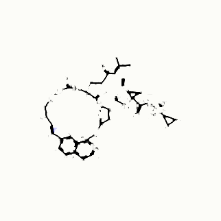 C=C[C@@H]1C[C@]1(NC(=O)[C@@H]1CC2CN1C(=O)[C@H](CCC(=O)C=C(C)C)NC(=O)OCCC/C=C/c1ccc3ccnc(c3c1)O2)C(=O)NS(=O)(=O)C1CC1